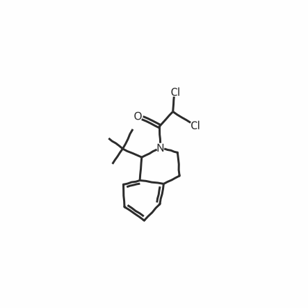 CC(C)(C)C1c2ccccc2CCN1C(=O)C(Cl)Cl